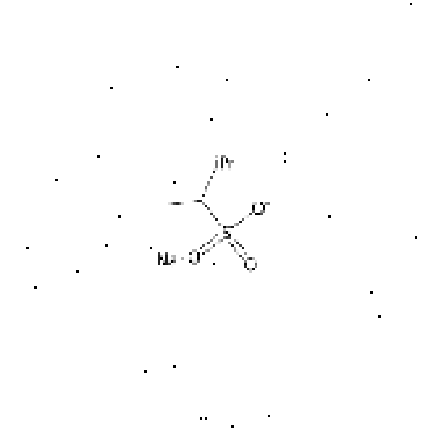 CC(C)C(C)S(=O)(=O)[O-].[Na+]